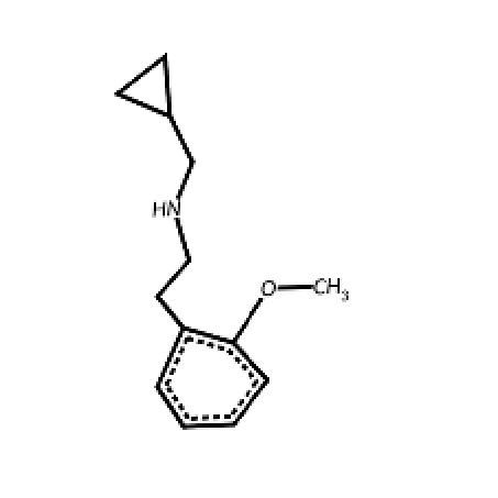 COc1ccccc1CCNCC1CC1